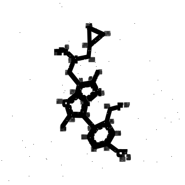 CCCN(Cc1c(C)nn2c(-c3ccc(C(F)(F)F)cc3CF)c(C)oc12)CC1CC1